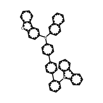 c1ccc(-n2c3ccccc3c3ccccc32)c(-c2ccc(-c3ccc(N(c4ccc5ccccc5c4)c4ccc5oc6ccccc6c5c4)cc3)cc2)c1